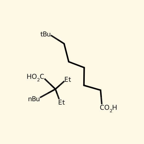 CC(C)(C)CCCCCC(=O)O.CCCCC(CC)(CC)C(=O)O